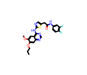 [CH2]CCOc1cc2ncnc(Nc3ncc(CC(=O)Nc4ccc(F)c(F)c4)s3)c2cc1OC